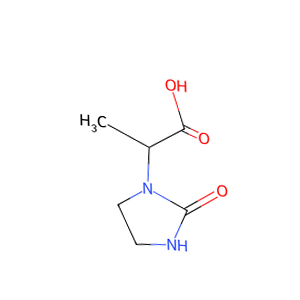 CC(C(=O)O)N1CCNC1=O